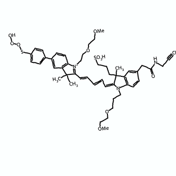 C#CCNC(=O)Cc1ccc2c(c1)C(C)(CCCS(=O)(=O)O)\C(=C/C=C/C=C/C1=[N+](CCOCCOC)c3ccc(-c4ccc(SOOO)cc4)cc3C1(C)C)N2CCCOCCOC